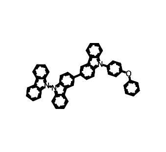 c1ccc(Oc2ccc(-n3c4ccccc4c4cc(-c5ccc6c(c5)c5ccccc5n6-n5c6ccccc6c6ccccc65)ccc43)cc2)cc1